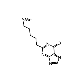 CSCCCCCC1=NC(=O)C2=NC=NC2=N1